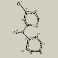 CC(=O)N(c1cccc(Cl)c1)c1ccccn1